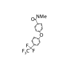 CNC(=O)c1ccc(Oc2ccc(C(F)(F)C(F)(F)F)cc2)cc1